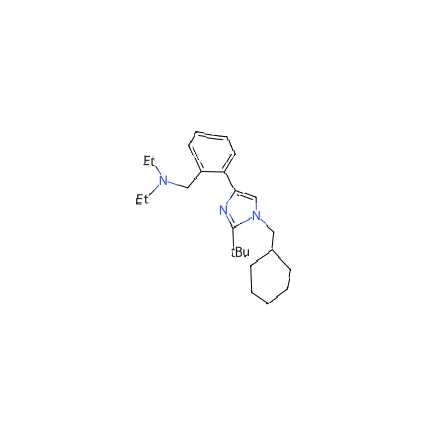 CCN(CC)Cc1ccccc1-c1cn(CC2CCCCC2)c(C(C)(C)C)n1